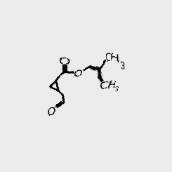 CC(C)COC(=O)C1CC1C=O